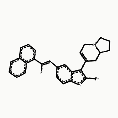 CCc1sc2ccc(C=C(F)c3cccc4ccccc34)cc2c1C1=CCN2CCCC2C1